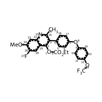 CCOC(=O)Oc1c(-c2ccc(Oc3ccc(OC(F)(F)F)cc3)cc2)c(C)nc2cc(OC)c(F)cc12